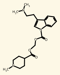 CN(C)CCc1cn(C(=O)OCOC(=O)C2CCN(C)CC2)c2ccccc12